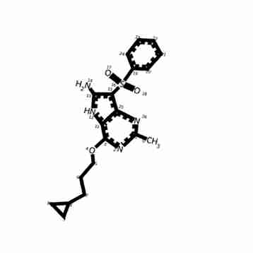 Cc1nc(OCCCC2CC2)c2[nH]c(N)c(S(=O)(=O)c3ccccc3)c2n1